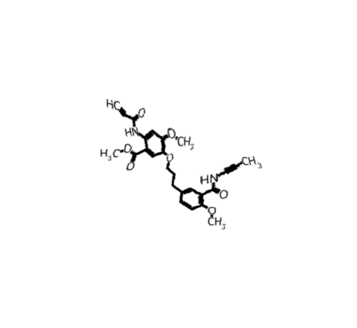 C#CC(=O)Nc1cc(OC)c(OCCCc2ccc(OC)c(C(=O)NC#CC)c2)cc1C(=O)OC